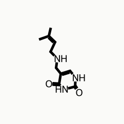 CC(C)=CCNCc1c[nH]c(=O)[nH]c1=O